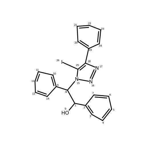 OC(c1ccccc1)C(c1ccccc1)n1nnc(-c2ccccc2)c1I